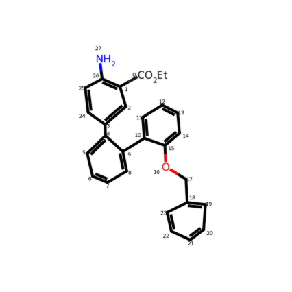 CCOC(=O)c1cc(-c2ccccc2-c2ccccc2OCc2ccccc2)ccc1N